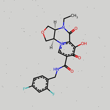 CCN1C(=O)c2c(O)c(=O)c(C(=O)NCc3ccc(F)cc3F)cn2[C@H]2COC[C@H]21